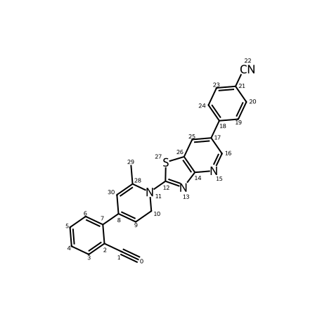 C#Cc1ccccc1C1=CCN(c2nc3ncc(-c4ccc(C#N)cc4)cc3s2)C(C)=C1